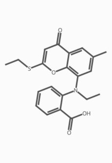 CCSc1cc(=O)c2cc(C)cc(N(CC)c3ccccc3C(=O)O)c2o1